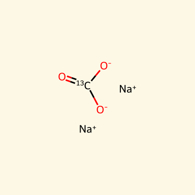 O=[13C]([O-])[O-].[Na+].[Na+]